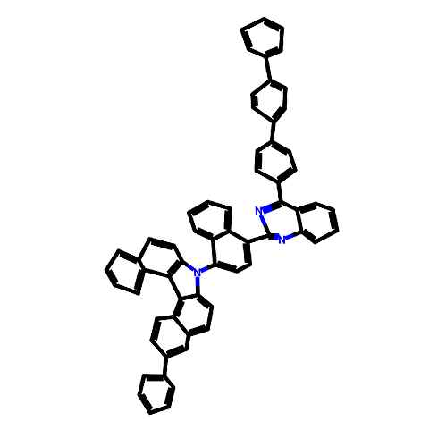 c1ccc(-c2ccc(-c3ccc(-c4nc(-c5ccc(-n6c7ccc8ccccc8c7c7c8ccc(-c9ccccc9)cc8ccc76)c6ccccc56)nc5ccccc45)cc3)cc2)cc1